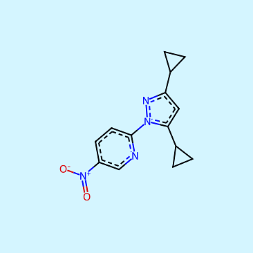 O=[N+]([O-])c1ccc(-n2nc(C3CC3)cc2C2CC2)nc1